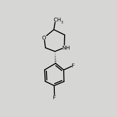 CC1CN[C@H](c2ccc(F)cc2F)CO1